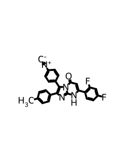 [C-]#[N+]c1ccc(-c2c(-c3ccc(C)cc3)nc3[nH]c(-c4ccc(F)cc4F)cc(=O)n23)cc1